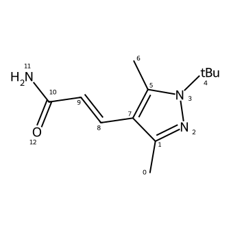 Cc1nn(C(C)(C)C)c(C)c1C=CC(N)=O